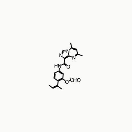 C/C=C(/C)c1ccc(NC(=O)c2ncn3c(C)cc(C)nc23)cc1OC=O